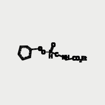 CCOC(=O)CNC[PH](=O)OOc1ccccc1